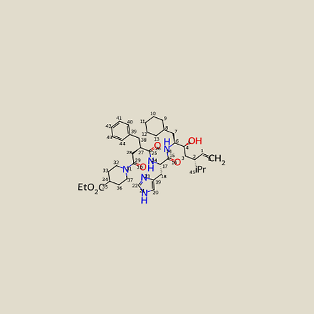 C=C[C@@H](C[C@H](O)[C@H](CC1CCCCC1)NC(=O)[C@H](Cc1c[nH]cn1)NC(=O)[C@@H](CC(=O)N1CCC(C(=O)OCC)CC1)Cc1ccccc1)C(C)C